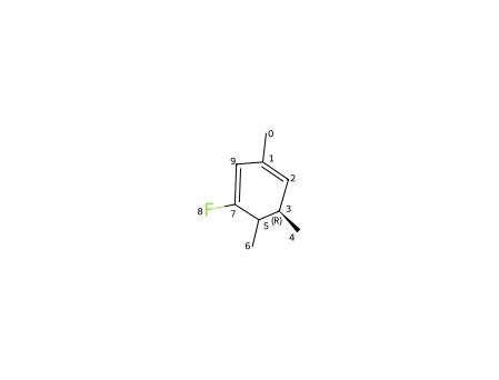 CC1=C[C@@H](C)C(C)C(F)=C1